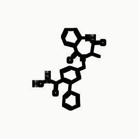 CC1C(=O)Nc2ccccc2C(=O)N1Cc1ccc(C(=O)NO)c(-c2ccccc2)c1